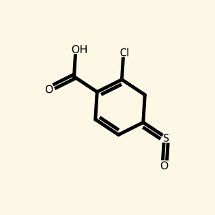 O=S=C1C=CC(C(=O)O)=C(Cl)C1